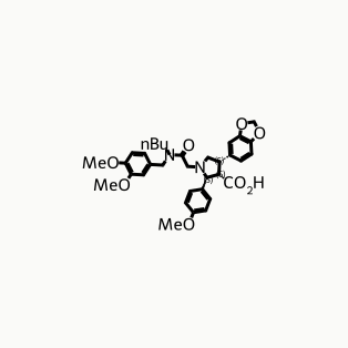 CCCCN(Cc1ccc(OC)c(OC)c1)C(=O)CN1C[C@H](c2ccc3c(c2)OCO3)[C@H](C(=O)O)[C@H]1c1ccc(OC)cc1